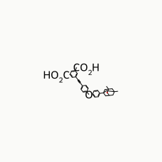 CC12CC3CC(C)(C1)CC(c1ccc(Oc4ccc(C#Cc5cc(C(=O)O)cc(C(=O)O)c5)cc4)cc1)(C3)C2